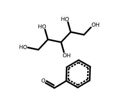 O=Cc1ccccc1.OCC(O)C(O)C(O)CO